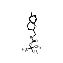 CC(C)(C)OC(=O)NCC1CCc2cc(I)ccc2O1